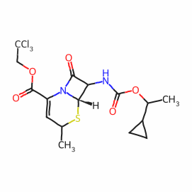 CC1C=C(C(=O)OCC(Cl)(Cl)Cl)N2C(=O)C(NC(=O)OC(C)C3CC3)[C@@H]2S1